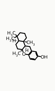 CC1(C)CCC[C@]2(C)[C@H]3Cc4cc(O)ccc4O[C@]3(C)CC[C@@H]12